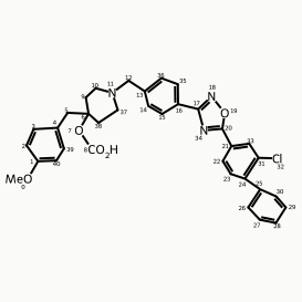 COc1ccc(CC2(OC(=O)O)CCN(Cc3ccc(-c4noc(-c5ccc(-c6ccccc6)c(Cl)c5)n4)cc3)CC2)cc1